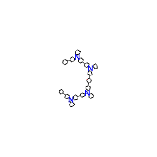 C[C@@]1(N(c2ccc(-c3ccccc3)cc2)c2ccc(-c3ccc(N(c4ccccc4)c4ccc(-c5ccc(-c6ccc(N(c7ccccc7)c7ccc(-c8ccc(N(c9ccccc9)c9ccc(-c%10ccccc%10)cc9)cc8)cc7)cc6)cc5)cc4)cc3)cc2)C=CC=CC1